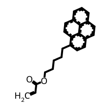 C=CC(=O)OCCCCCc1ccc2ccc3cccc4ccc1c2c34